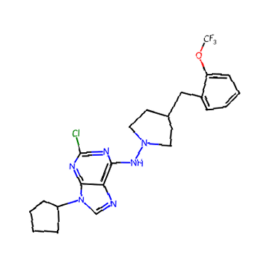 FC(F)(F)Oc1ccccc1CC1CCN(Nc2nc(Cl)nc3c2ncn3C2CCCC2)CC1